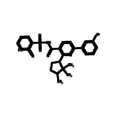 CC(C)c1cccc(-c2ccc(C(=O)NS(=O)(=O)c3ccc[nH]c3=O)c(N3CCC(C)C3(C)C)n2)c1